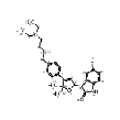 CCN(CC)CCNCc1ccc(C2=CC(C3C(=O)Nc4ccc(F)cc43)OC2(C)C)cc1